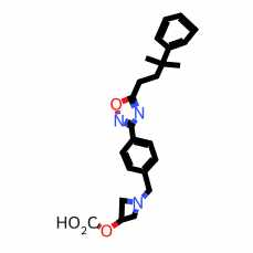 CC(C)(CCc1nc(-c2ccc(CN3CC(OC(=O)O)C3)cc2)no1)c1ccccc1